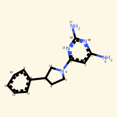 Nc1cc(N2CCC(c3ccccc3)C2)nc(N)n1